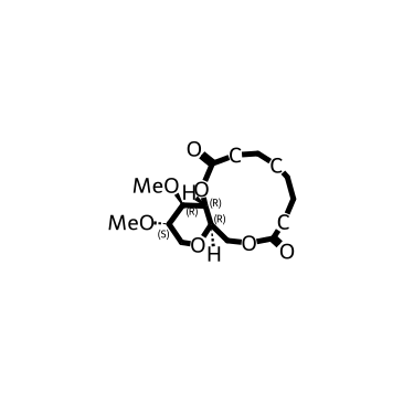 CO[C@H]1[C@@H]2OC(=O)CCCCCCC(=O)OC[C@H]2OC[C@@H]1OC